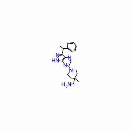 CC(c1ccccc1)c1n[nH]c2nc(N3CCC(C)(CN)CC3)cnc12